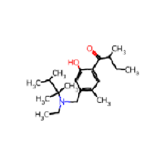 CCC(C)C(=O)c1cc(C)c(CN(CC)C(C)(C)C(C)C)cc1O